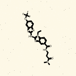 CCn1c(Nc2nc3ccc(OC(F)(F)F)cc3s2)nc2cc(C(=O)NCCC(=O)N(C)C)ccc21